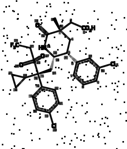 C[C@@]1(CC(=O)O)C[C@H](c2cccc(Cl)c2)[C@H](C[C@@](c2ccc(Cl)cc2)(C2CC2)S(=O)(=O)CC(F)(F)F)NC1=O